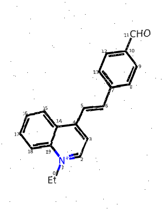 CC[n+]1ccc(/C=C/c2ccc(C=O)cc2)c2ccccc21